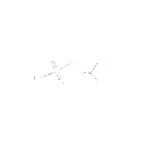 CC(N)S.O=S(=O)(O)O